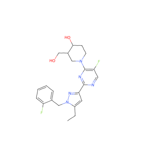 CCc1cc(-c2ncc(F)c(N3CCC(O)C(CO)C3)n2)nn1Cc1ccccc1F